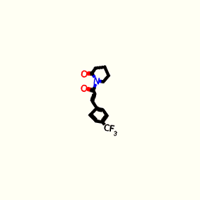 O=C(/C=C/c1ccc(C(F)(F)F)cc1)N1CCCCC1=O